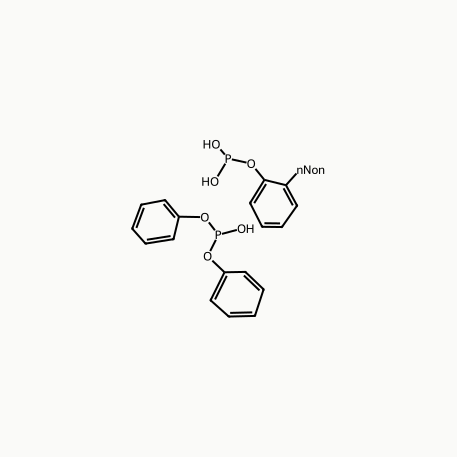 CCCCCCCCCc1ccccc1OP(O)O.OP(Oc1ccccc1)Oc1ccccc1